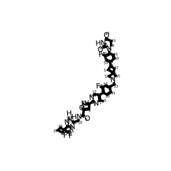 Cc1nc(-c2cc(C(=O)NCc3nc(C4(C(F)(F)F)CCC4)n[nH]3)on2)ncc1-c1ccc(CN2CC3(CC(c4ccc(N5CCC(=O)NC5=O)c(F)c4)C3)C2)cc1F